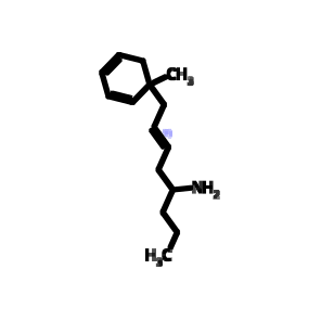 CCCC(N)C/C=C/CC1(C)C=CC=CC1